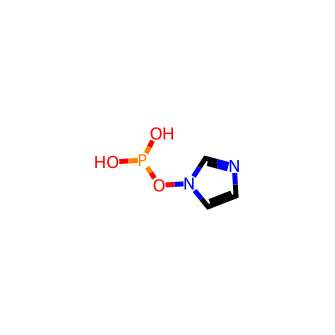 OP(O)On1ccnc1